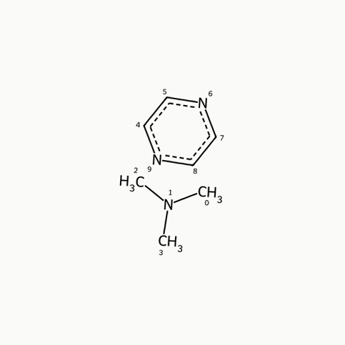 CN(C)C.c1cnccn1